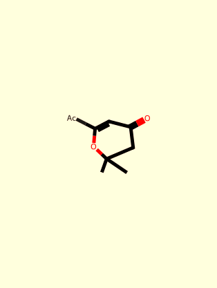 CC(=O)C1=CC(=O)CC(C)(C)O1